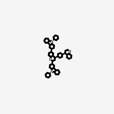 c1ccc(-n2c3ccccc3c3cc(-c4ccc5nc(-c6ccc7c(c6)c6ccccc6n7-c6ccccc6)cc(-c6ccc(-c7ccnc8ccccc78)cc6)c5c4)ccc32)cc1